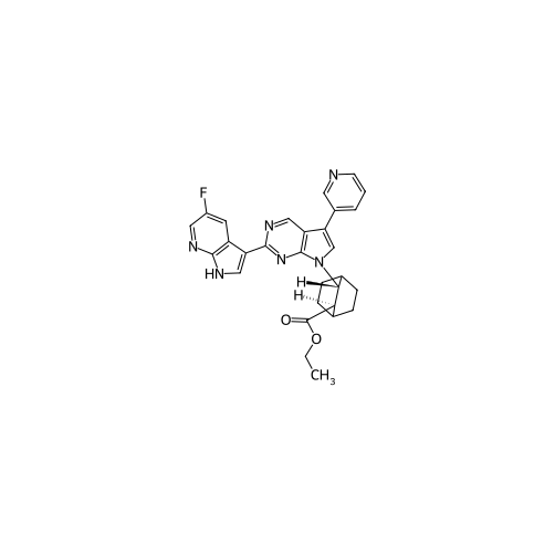 CCOC(=O)[C@@H]1C2CCC(CC2)[C@H]1n1cc(-c2cccnc2)c2cnc(-c3c[nH]c4ncc(F)cc34)nc21